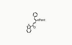 CCCCCC(C=CC(=O)c1scc2ccccc12)=Cc1ccccc1